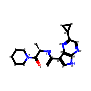 C=C(N[C@@H](C)C(=O)N1CCCCC1)c1c[nH]c2ncc(C3CC3)nc12